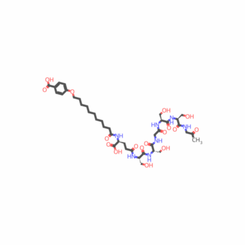 CC(=O)CNC(=O)[C@H](CO)NC(=O)[C@H](CO)NC(=O)CNC(=O)[C@H](CO)NC(=O)[C@H](CO)NC(=O)CC[C@H](NC(=O)CCCCCCCCCCOc1ccc(C(=O)O)cc1)C(=O)O